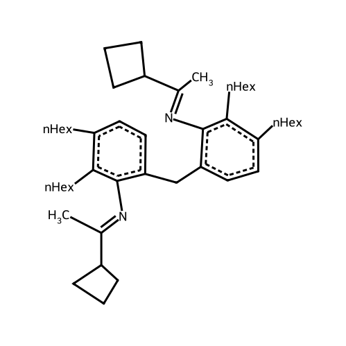 CCCCCCc1ccc(Cc2ccc(CCCCCC)c(CCCCCC)c2N=C(C)C2CCC2)c(N=C(C)C2CCC2)c1CCCCCC